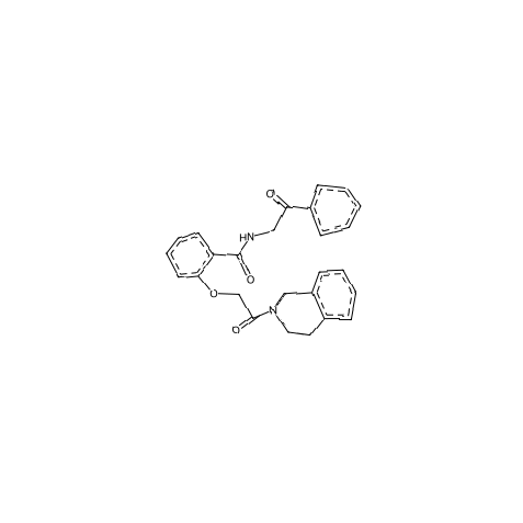 O=C(CNC(=O)c1ccccc1OCC(=O)N1CCc2ccccc2C1)c1ccccc1